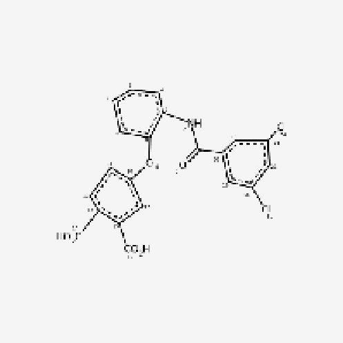 O=C(Nc1ccccc1Oc1ccc(C(=O)O)c(C(=O)O)c1)c1cc(Cl)cc(Cl)c1